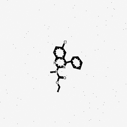 CCOC(=O)N(C)c1nc(-c2ccccc2)c2cc(Cl)ccc2n1